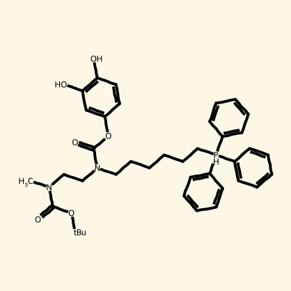 CN(CCN(CCCCCC[PH](c1ccccc1)(c1ccccc1)c1ccccc1)C(=O)Oc1ccc(O)c(O)c1)C(=O)OC(C)(C)C